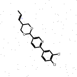 C/C=C/C1COC(c2ccc(-c3ccc(Cl)c(Cl)c3)nc2)OC1